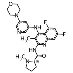 Cc1c(NC(=O)[C@H]2CCCN2C)nc2cc(F)cc(F)c2c1Nc1cncc(N2CCOCC2)c1